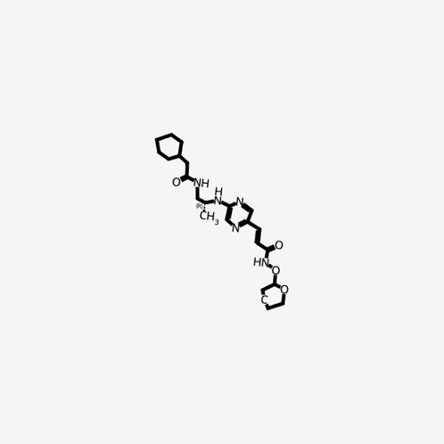 C[C@H](CNC(=O)CC1CCCCC1)Nc1cnc(C=CC(=O)NOC2CCCCO2)cn1